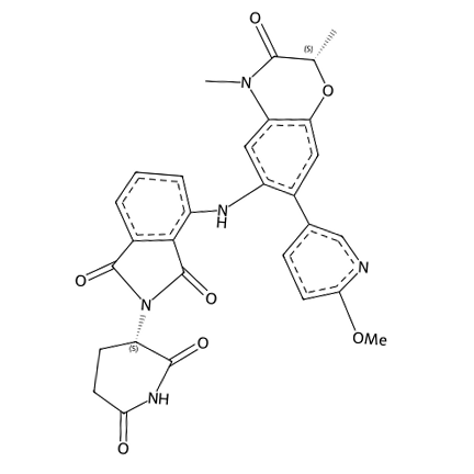 COc1ccc(-c2cc3c(cc2Nc2cccc4c2C(=O)N([C@H]2CCC(=O)NC2=O)C4=O)N(C)C(=O)[C@H](C)O3)cn1